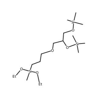 CCO[Si](C)(CCCOCC(CO[Si](C)(C)C)O[Si](C)(C)C)OCC